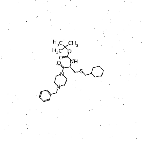 CC(C)(C)OC(=O)N[C@@H](CSCC1CCCCC1)C(=O)N1CCN(Cc2ccccc2)CC1